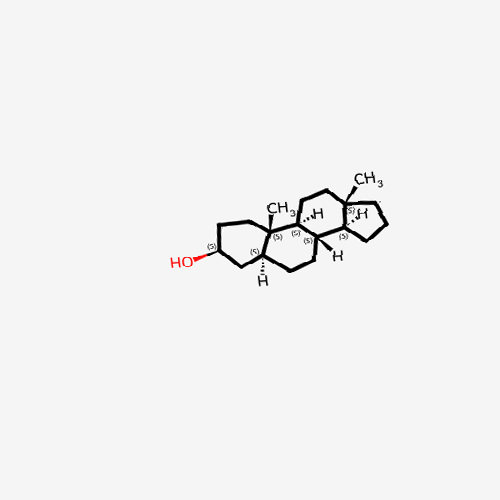 C[C@]12CC[C@H](O)C[C@@H]1CC[C@@H]1[C@@H]2CC[C@]2(C)[CH]CC[C@@H]12